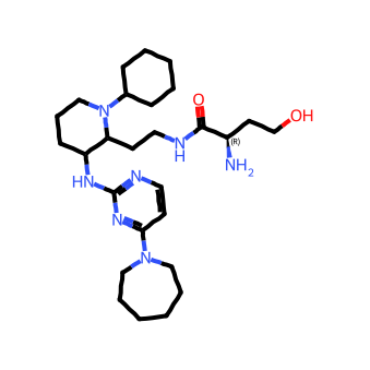 N[C@H](CCO)C(=O)NCCC1C(Nc2nccc(N3CCCCCC3)n2)CCCN1C1CCCCC1